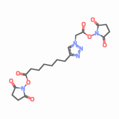 O=C(CCCCCCc1cn(CC(=O)ON2C(=O)CCC2=O)nn1)ON1C(=O)CCC1=O